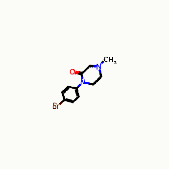 CN1CCN(c2ccc(Br)cc2)C(=O)C1